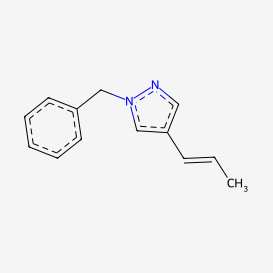 C/C=C/c1cnn(Cc2ccccc2)c1